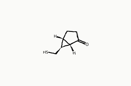 O=C1CC[C@H]2[C@H](CS)[C@@H]12